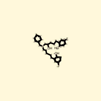 Oc1ccc(F)cc1CCCCCN(Cc1ccccc1)CC(O)CCCc1cc(F)ccc1O